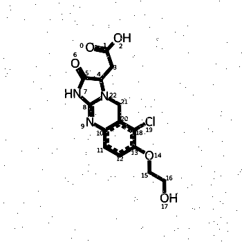 O=C(O)CC1C(=O)NC2=Nc3ccc(OCCO)c(Cl)c3CN21